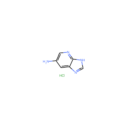 Cl.Nc1cnc2[nH]cnc2c1